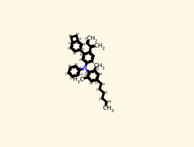 C=CC(=C)c1ccc(N(c2ccccc2)c2c(C)cc(CCCCCC)cc2C)cc1-c1ccc2c(c1)CC2